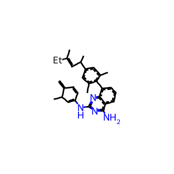 C=C1C=CC(Nc2nc(N)c3cccc(-c4c(C)cc(C(C)/C=C(\C)CC)cc4C)c3n2)=CC1C